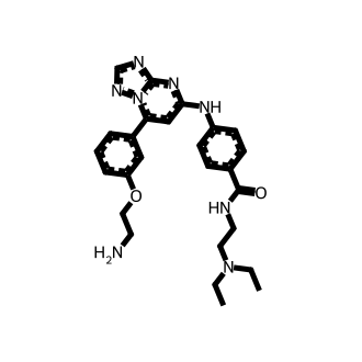 CCN(CC)CCNC(=O)c1ccc(Nc2cc(-c3cccc(OCCN)c3)n3ncnc3n2)cc1